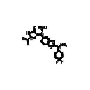 COC[C@H](c1ccc2oc([C@@H](N)C3CCC(F)(F)CC3)nc2c1)N1C[C@@H](C(F)F)NC1=O